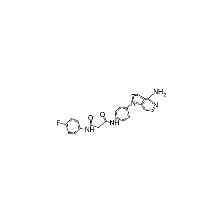 Nc1nccc2c1ccn2-c1ccc(NC(=O)CC(=O)Nc2ccc(F)cc2)cc1